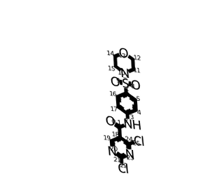 O=C(Nc1ccc(S(=O)(=O)N2CCOCC2)cc1)c1cnc(Cl)nc1Cl